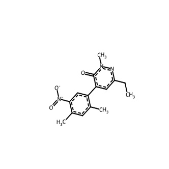 CCc1cc(-c2cc([N+](=O)[O-])c(C)cc2C)c(=O)n(C)n1